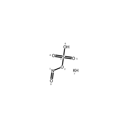 O=NOS(=O)(=O)O.[KH]